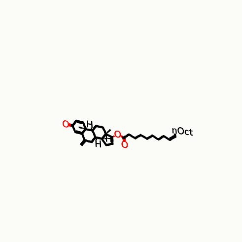 C=C1C[C@H]2[C@@H]3CC[C@H](OC(=O)CCCCCCC/C=C\CCCCCCCC)[C@@]3(C)CC[C@@H]2[C@@]2(C)C=CC(=O)C=C12